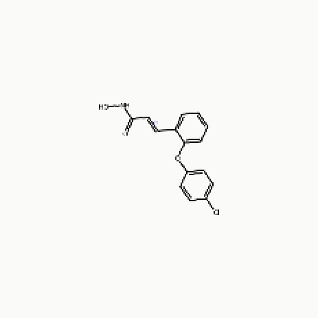 O=C(/C=C/c1ccccc1Oc1ccc(Cl)cc1)NO